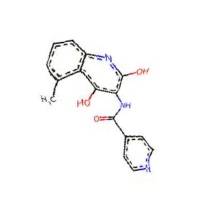 Cc1cccc2nc(O)c(NC(=O)c3ccncc3)c(O)c12